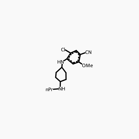 CCCNC1CCC(Nc2cc(OC)c(C#N)cc2Cl)CC1